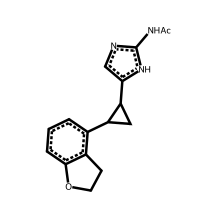 CC(=O)Nc1ncc(C2CC2c2cccc3c2CCO3)[nH]1